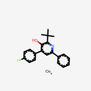 C.CC(C)(C)c1nc(-c2ccccc2)cc(-c2ccc(F)cc2)c1O